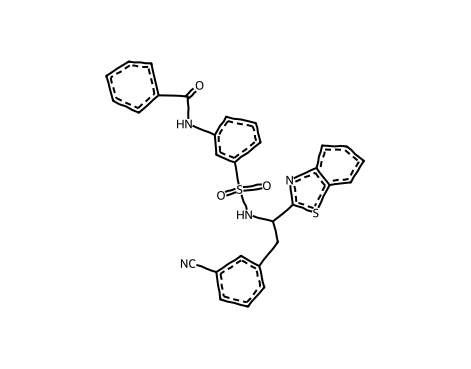 N#Cc1cccc(CC(NS(=O)(=O)c2cccc(NC(=O)c3ccccc3)c2)c2nc3ccccc3s2)c1